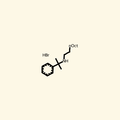 Br.CCCCCCCCCCNC(C)(C)c1ccccc1